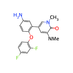 CNc1cc(-c2cc(N)ccc2Oc2ccc(F)cc2F)cn(C)c1=O